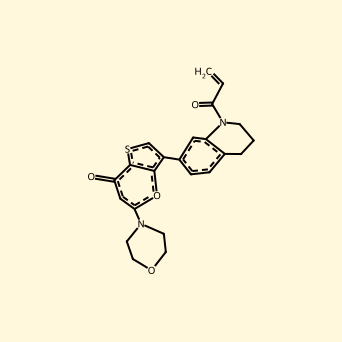 C=CC(=O)N1CCCc2ccc(-c3csc4c(=O)cc(N5CCOCC5)oc34)cc21